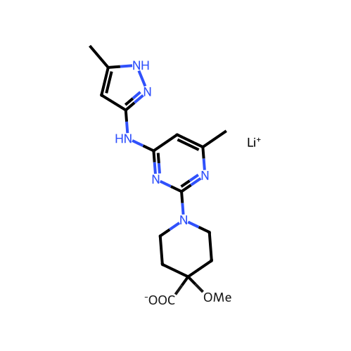 COC1(C(=O)[O-])CCN(c2nc(C)cc(Nc3cc(C)[nH]n3)n2)CC1.[Li+]